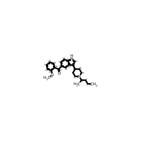 CCCC(C)N1CCC(c2c[nH]c3ccc(C(=O)c4ccccc4OC)cc23)CC1